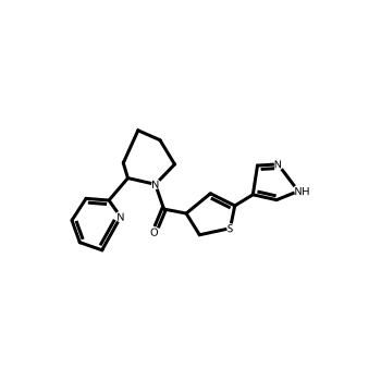 O=C(C1C=C(c2cn[nH]c2)SC1)N1CCCCC1c1ccccn1